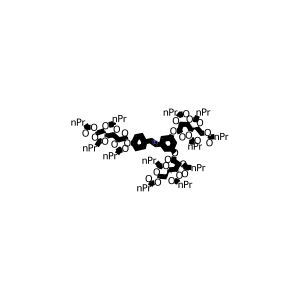 CCCC(=O)OCC[C@@H](OC(=O)CCC)[C@H](OC(=O)CCC)[C@@H](OC(=O)CCC)C(=O)Oc1ccc(/C=C/c2cc(OC(=O)[C@H](OC(=O)CCC)[C@@H](OC(=O)CCC)[C@@H](CCOC(=O)CCC)OC(=O)CCC)cc(OC(=O)[C@H](OC(=O)CCC)[C@@H](OC(=O)CCC)[C@@H](CCOC(=O)CCC)OC(=O)CCC)c2)cc1